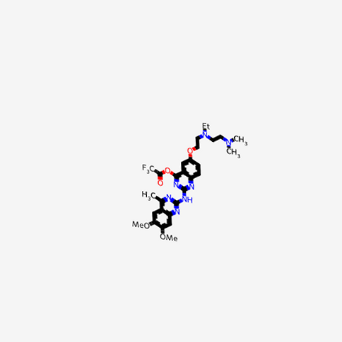 CCN(CCOc1ccc2nc(Nc3nc(C)c4cc(OC)c(OC)cc4n3)nc(OC(=O)C(F)(F)F)c2c1)CCN(C)C